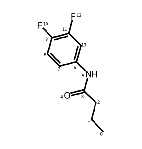 CCCC(=O)Nc1ccc(F)c(F)c1